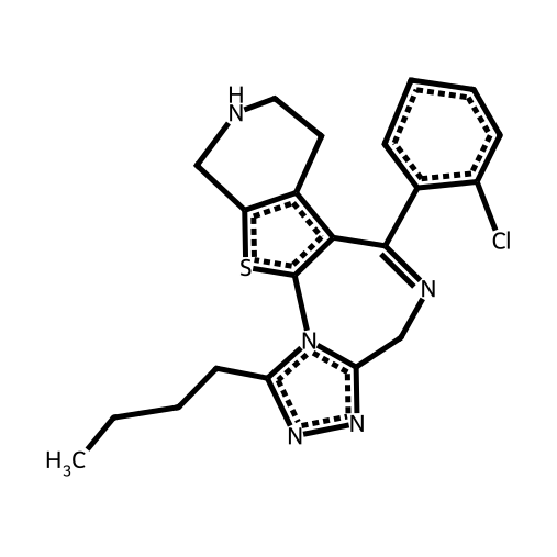 CCCCc1nnc2n1-c1sc3c(c1C(c1ccccc1Cl)=NC2)CCNC3